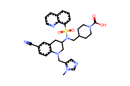 Cn1cncc1CN1CC(N(CC2CCN(C(=O)O)CC2)S(=O)(=O)c2cccc3cccnc23)Cc2cc(C#N)ccc21